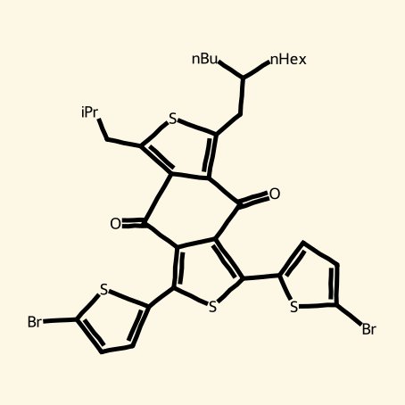 CCCCCCC(CCCC)Cc1sc(CC(C)C)c2c1C(=O)c1c(-c3ccc(Br)s3)sc(-c3ccc(Br)s3)c1C2=O